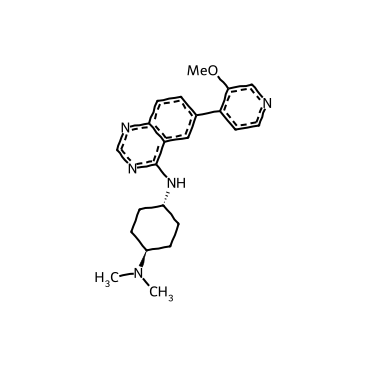 COc1cnccc1-c1ccc2ncnc(N[C@H]3CC[C@H](N(C)C)CC3)c2c1